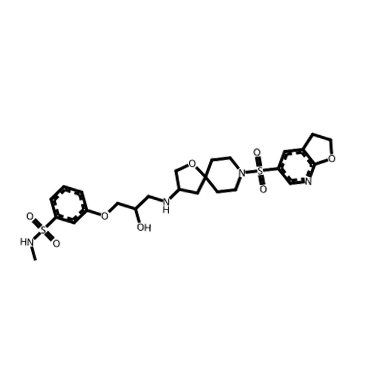 CNS(=O)(=O)c1cccc(OCC(O)CNC2COC3(CCN(S(=O)(=O)c4cnc5c(c4)CCO5)CC3)C2)c1